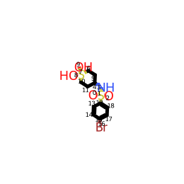 O=S(=O)(NC1CCS(O)(O)CC1)c1ccc(Br)cc1